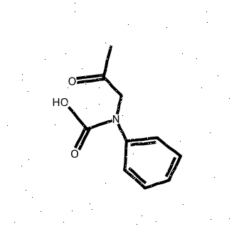 CC(=O)CN(C(=O)O)c1ccccc1